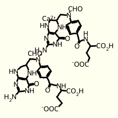 Nc1nc2c(c(=O)[nH]1)NC(CN(C=O)c1ccc(C(=O)NC(CCC(=O)[O-])C(=O)O)cc1)CN2.Nc1nc2c(c(=O)[nH]1)NC(CN(C=O)c1ccc(C(=O)NC(CCC(=O)[O-])C(=O)O)cc1)CN2.[Ca+2]